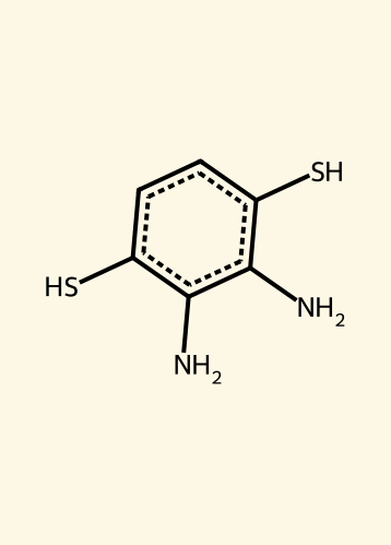 Nc1c(S)ccc(S)c1N